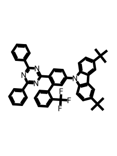 CC(C)(C)c1ccc2c(c1)c1cc(C(C)(C)C)ccc1n2-c1ccc(-c2nc(-c3ccccc3)nc(-c3ccccc3)n2)c(-c2ccccc2C(F)(F)F)c1